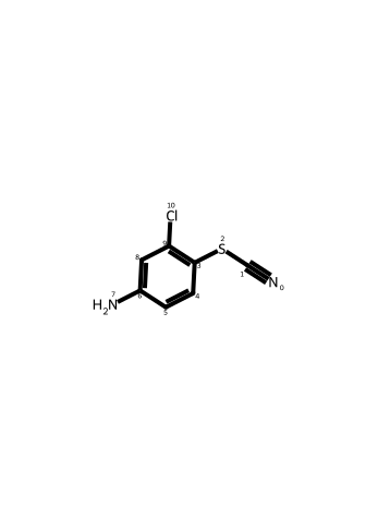 N#CSc1ccc(N)cc1Cl